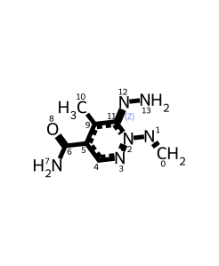 C=Nn1ncc(C(N)=O)c(C)/c1=N/N